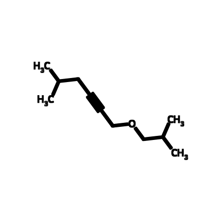 CC(C)CC#CCOCC(C)C